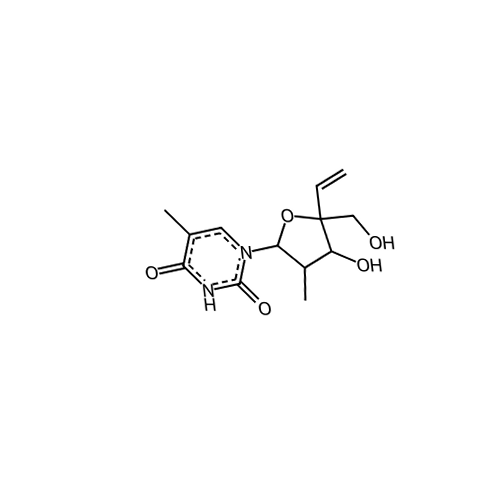 C=CC1(CO)OC(n2cc(C)c(=O)[nH]c2=O)C(C)C1O